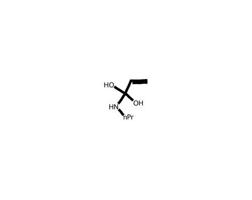 [CH2]CCNC(O)(O)C=C